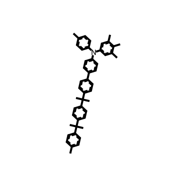 Cc1ccc(N(c2ccc(-c3ccc(C(C)(C)c4ccc(C(C)(C)c5ccc(C)cc5)cc4)cc3)cc2)c2cc(C)c(C)c(C)c2)cc1